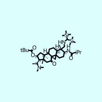 CC(C)C(=O)N[C@H]1CCC23C[C@]24C(=O)C[C@]2(C)[C@@H]([C@H](C)N(C)C)[C@H](OC(=O)C(C)(C)C)C[C@@]2(C)[C@@H]4CC[C@H]3[C@]1(C)CNC([Si](C)(C)C)[Si](C)(C)C